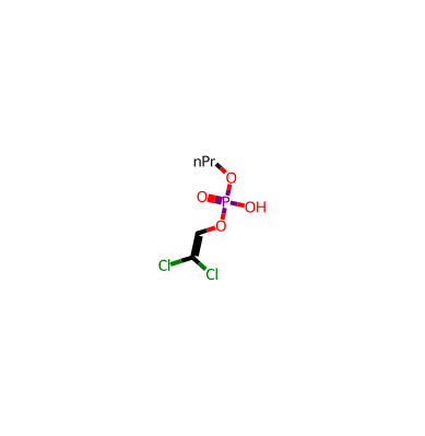 CCCOP(=O)(O)OC=C(Cl)Cl